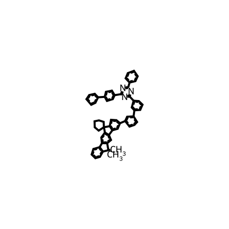 CC1(C)c2ccccc2-c2cc3c(cc21)-c1cc(-c2cccc(-c4cccc(-c5nc(-c6ccccc6)nc(-c6ccc(-c7ccccc7)cc6)n5)c4)c2)ccc1C31CCCCC1